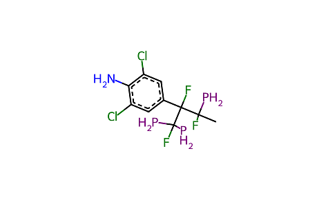 CC(F)(P)C(F)(c1cc(Cl)c(N)c(Cl)c1)C(F)(P)P